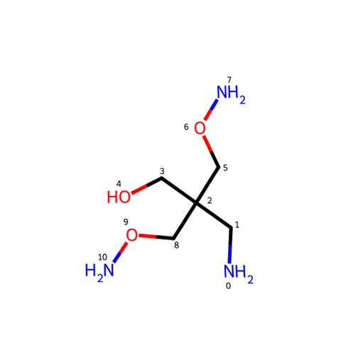 NCC(CO)(CON)CON